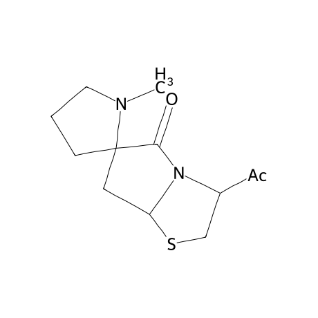 CC(=O)C1CSC2CC3(CCCN3C)C(=O)N21